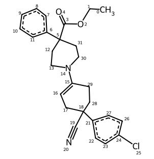 CCOC(=O)C1(c2ccccc2)CCN(C2=CCC(C#N)(c3ccc(Cl)cc3)CC2)CC1